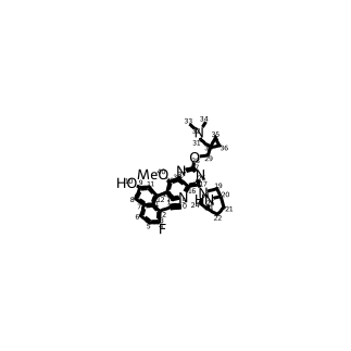 C#Cc1c(F)ccc2cc(O)cc(-c3cnc4c(N5CC6CCC(C5)N6)nc(OCC5(CN(C)C)CC5)nc4c3OC)c12